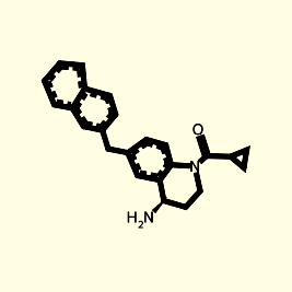 N[C@@H]1CCN(C(=O)C2CC2)c2ccc(Cc3ccc4ccccc4c3)cc21